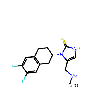 O=CNCc1c[nH]c(=S)n1[C@H]1CCc2cc(F)c(F)cc2C1